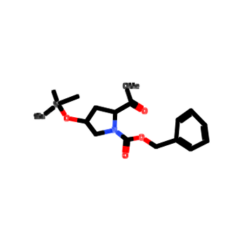 COC(=O)C1CC(O[Si](C)(C)C(C)(C)C)CN1C(=O)OCc1ccccc1